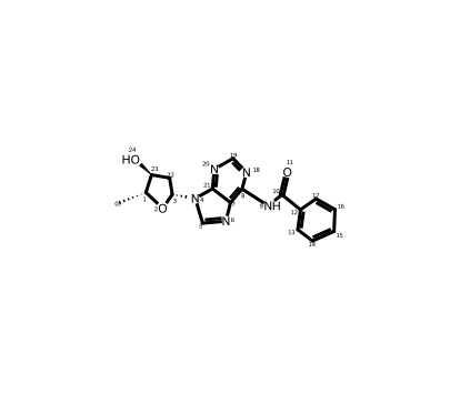 [CH2][C@H]1O[C@@H](n2cnc3c(NC(=O)c4ccccc4)ncnc32)C[C@@H]1O